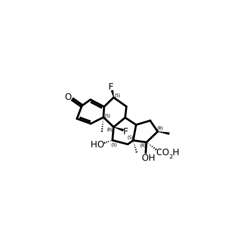 C[C@@H]1CC2C3C[C@H](F)C4=CC(=O)C=C[C@]4(C)[C@@]3(F)[C@@H](O)C[C@]2(C)[C@@]1(O)C(=O)O